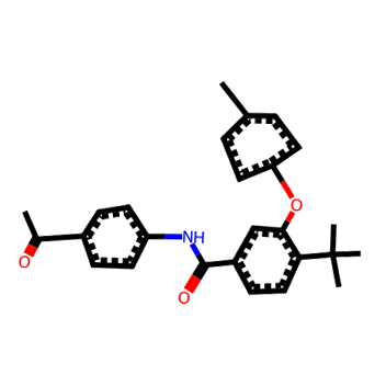 CC(=O)c1ccc(NC(=O)c2ccc(C(C)(C)C)c(Oc3ccc(C)cc3)c2)cc1